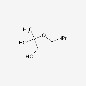 CC(C)COC(C)(O)CO